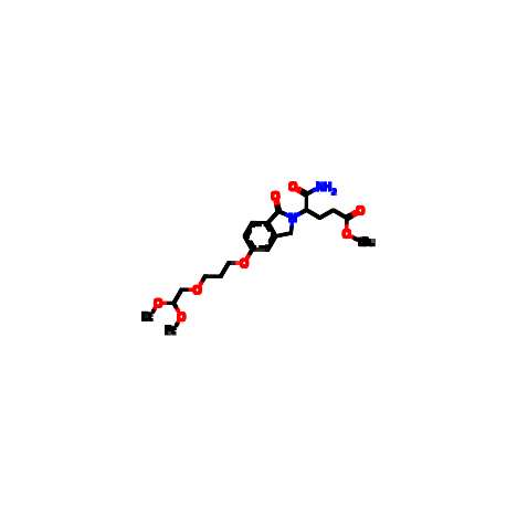 CCOC(COCCCOc1ccc2c(c1)CN(C(CCC(=O)OC(C)(C)C)C(N)=O)C2=O)OCC